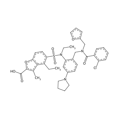 CCc1c(S(=O)(=O)N(CC)c2cc(N3CCCC3)ccc2CN(Cc2ccco2)C(=O)c2ccccc2Cl)ccc2oc(C(=O)O)c(C)c12